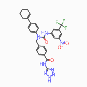 O=C(Nc1nn[nH]n1)c1ccc(CN(C(=O)Nc2cc([N+](=O)[O-])cc(C(F)(F)F)c2)c2ccc(C3=CCCCC3)cc2)cc1